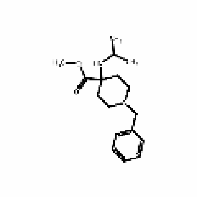 COC(=O)C1(NC(C)C)CCN(Cc2ccccc2)CC1